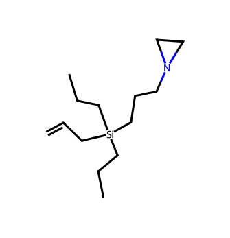 C=CC[Si](CCC)(CCC)CCCN1CC1